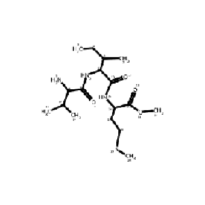 CCC(C)C(NC(=O)C(N)C(C)C)C(=O)NC(CCSC)C(=O)OC